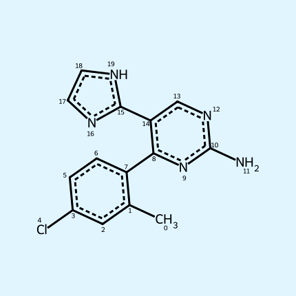 Cc1cc(Cl)ccc1-c1nc(N)ncc1-c1ncc[nH]1